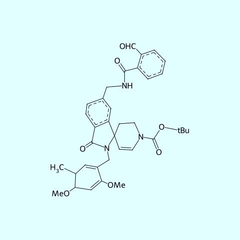 COC1=CC(OC)C(C)C=C1CN1C(=O)c2ccc(CNC(=O)c3ccccc3C=O)cc2C12C=CN(C(=O)OC(C)(C)C)CC2